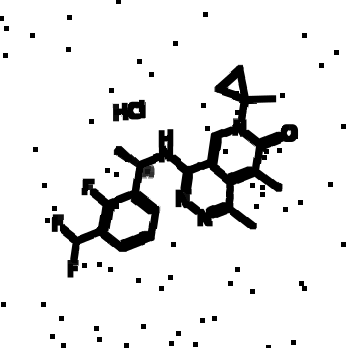 Cc1nnc(N[C@H](C)c2cccc(C(F)F)c2F)c2cn(C3(C)CC3)c(=O)c(C)c12.Cl